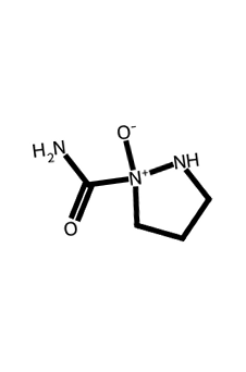 NC(=O)[N+]1([O-])CCCN1